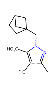 Cc1nn(CC23CCC(C2)C3)c(C(=O)O)c1C(F)(F)F